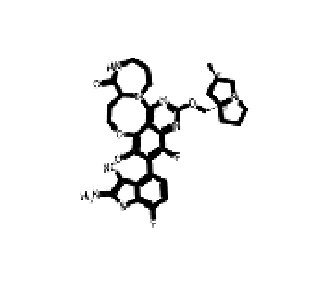 C[C@H]1CN2CCC[C@@]2(COc2nc3c4c(c(Cl)c(-c5ccc(F)c6sc(N)c(C#N)c56)c(F)c4n2)OCCC2C(=O)NCCCN32)C1